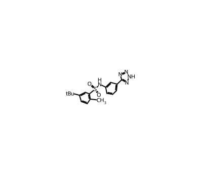 Cc1ccc(C(C)(C)C)cc1S(=O)(=O)Nc1cccc(-c2nn[nH]n2)c1